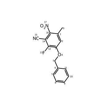 Cc1cc(OCc2ccccc2)c(F)c(C#N)c1[N+](=O)[O-]